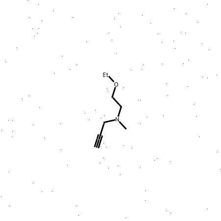 C#CCN(C)CCOCC